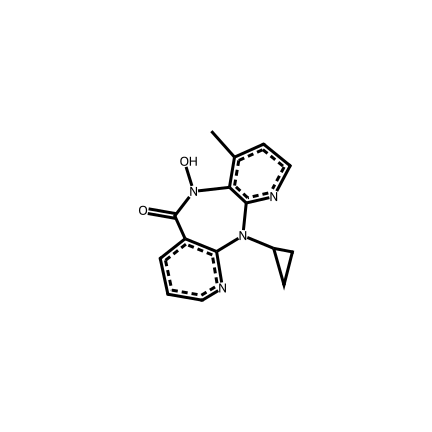 Cc1ccnc2c1N(O)C(=O)c1cccnc1N2C1CC1